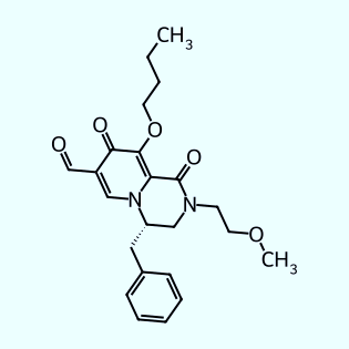 CCCCOc1c2n(cc(C=O)c1=O)[C@@H](Cc1ccccc1)CN(CCOC)C2=O